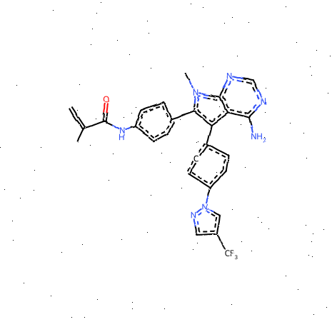 C=C(C)C(=O)Nc1ccc(-c2c(-c3ccc(-n4cc(C(F)(F)F)cn4)cc3)c3c(N)ncnc3n2C)cc1